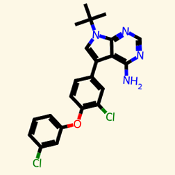 CC(C)(C)n1cc(-c2ccc(Oc3cccc(Cl)c3)c(Cl)c2)c2c(N)ncnc21